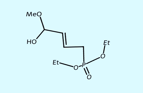 CCOP(=O)(CC=CC(O)OC)OCC